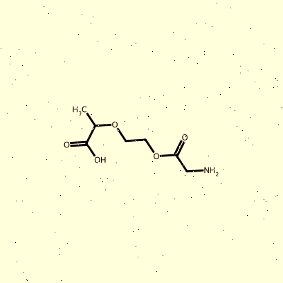 CC(OCCOC(=O)CN)C(=O)O